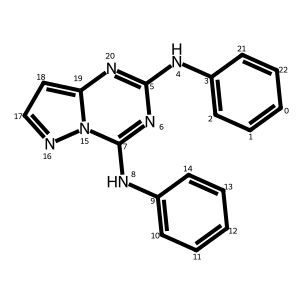 c1ccc(Nc2nc(Nc3ccccc3)n3nccc3n2)cc1